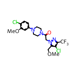 COCc1c(Cl)c(C(F)(F)F)nn1CC(=O)N1CCN(c2ccc(Cl)c(OC)c2)CC1